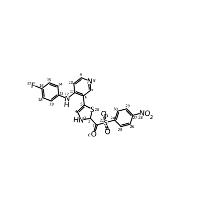 O=C(C1NC=C(c2cnccc2Nc2ccc(F)cc2)S1)S(=O)(=O)c1ccc([N+](=O)[O-])cc1